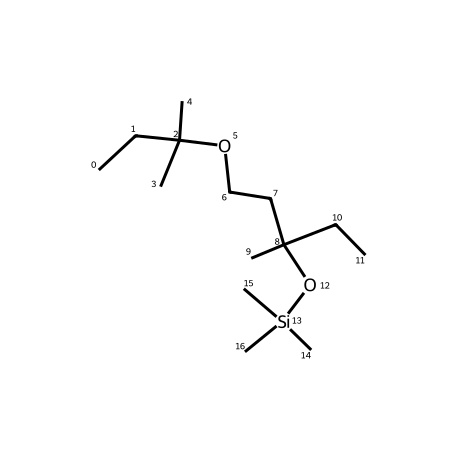 CCC(C)(C)OCCC(C)(CC)O[Si](C)(C)C